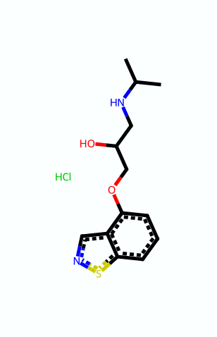 CC(C)NCC(O)COc1cccc2sncc12.Cl